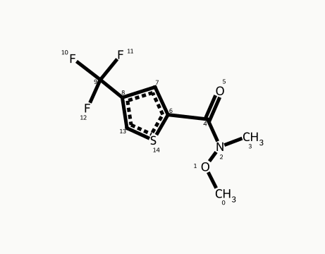 CON(C)C(=O)c1cc(C(F)(F)F)cs1